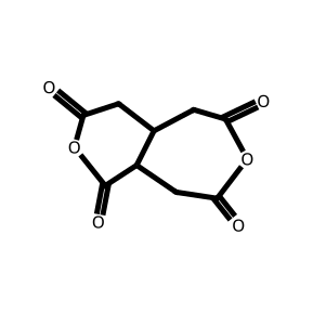 O=C1CC2CC(=O)OC(=O)C2CC(=O)O1